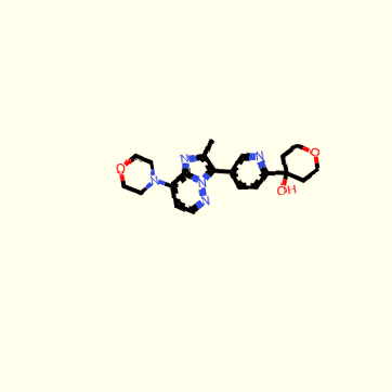 Cc1nc2c(N3CCOCC3)ccnn2c1-c1ccc(C2(O)CCOCC2)nc1